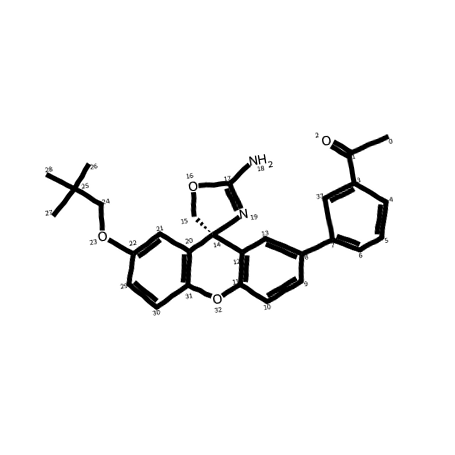 CC(=O)c1cccc(-c2ccc3c(c2)[C@@]2(COC(N)=N2)c2cc(OCC(C)(C)C)ccc2O3)c1